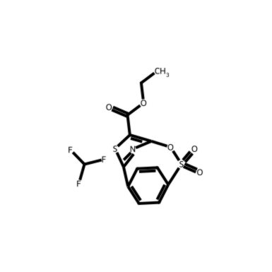 CCOC(=O)c1sc2nc1OS(=O)(=O)c1ccc-2cc1.FC(F)F